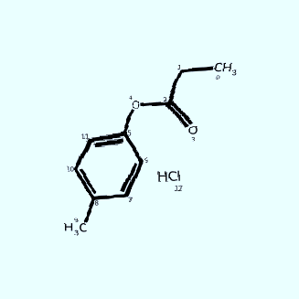 CCC(=O)Oc1ccc(C)cc1.Cl